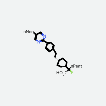 CCCCCCCCCc1cnc(-c2ccc(CC[C@H]3CC[C@H]([C@@](F)(CCCCC)C(=O)O)CC3)cc2)nc1